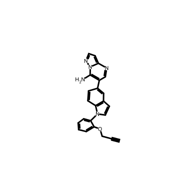 C#CCOc1ccccc1-n1ccc2cc(-c3cnc4ccnn4c3N)ccc21